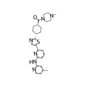 Cc1ccnc(Nc2cccc(-c3cnc([C@H]4CC[C@H](C(=O)N5CCN(C)CC5)CC4)s3)n2)c1